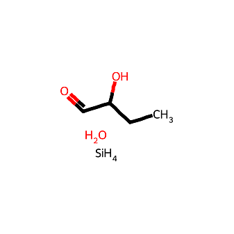 CCC(O)C=O.O.[SiH4]